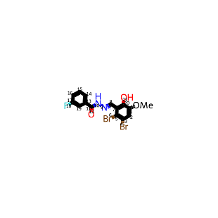 COc1cc(Br)c(Br)c(/C=N/NC(=O)c2cccc(F)c2)c1O